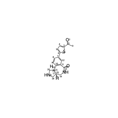 CC(=O)c1ccc(-c2ccc3c(c2)C(=O)NC[C@@H]2CNC[C@@H]32)s1